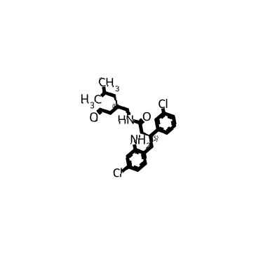 CC(C)C[C@H](CC=O)CNC(=O)C[C@H](Cc1ccc(Cl)cc1N)c1cccc(Cl)c1